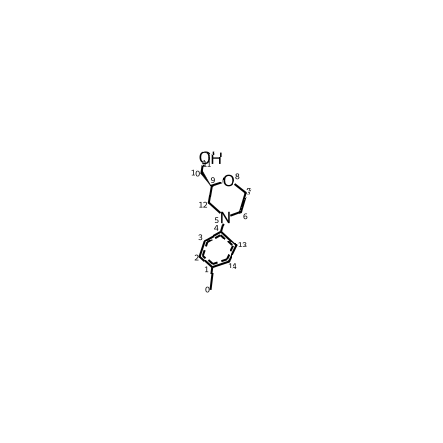 Cc1ccc(N2CCO[C@H](CO)C2)cc1